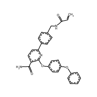 C=CC(=O)NCc1ccc(-c2ccc(C(N)=O)c(Oc3ccc(Oc4ccccc4)cc3)n2)cc1